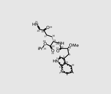 CO[C@@H](Cc1c[nH]c2ncccc12)C(=O)N[C@@H](CCC(=O)C=N)C(=O)OC(C)C